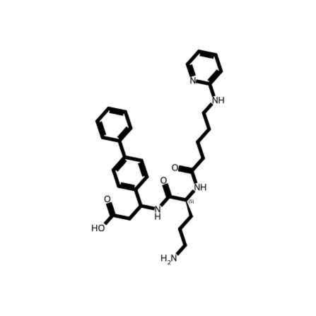 NCCC[C@H](NC(=O)CCCCNc1ccccn1)C(=O)NC(CC(=O)O)c1ccc(-c2ccccc2)cc1